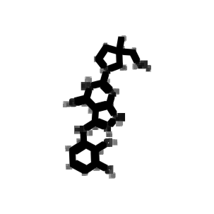 CC1(CN)CCN(c2nc3[nH]nc(Nc4cccc(Cl)c4Cl)c3c(=O)[nH]2)C1